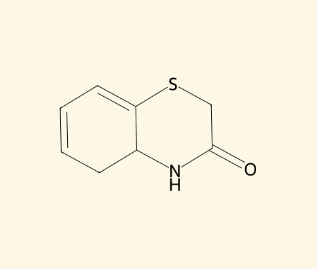 O=C1CSC2=CC=CCC2N1